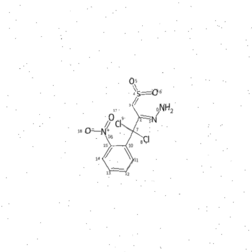 NN=C(C=S(=O)=O)C(Cl)(Cl)c1ccccc1[N+](=O)[O-]